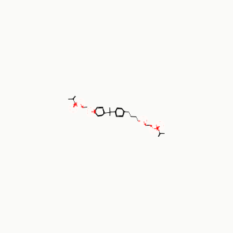 C=C(C)C(=O)OCCOCCCCc1ccc(C(C)(C)c2ccc(OCCOC(=O)C(=C)C)cc2)cc1